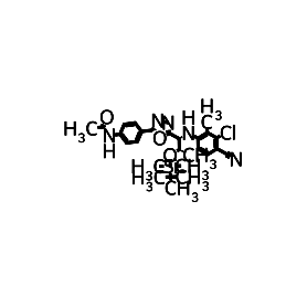 CC(=O)Nc1ccc(-c2nnc([C@H](Nc3ccc(C#N)c(Cl)c3C)[C@H](C)O[Si](C)(C)C(C)(C)C)o2)cc1